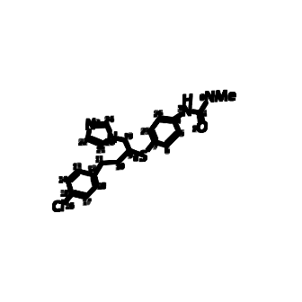 CNC(=O)Nc1ccc(SC(CCc2ccc(Cl)cc2)Cn2ccnc2)cc1